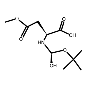 COC(=O)C[C@H](N[C@H](O)OC(C)(C)C)C(=O)O